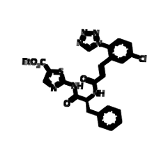 CCOC(=O)c1cnc(NC(=O)[C@H](Cc2ccccc2)NC(=O)C=Cc2cc(Cl)ccc2-n2cnnn2)s1